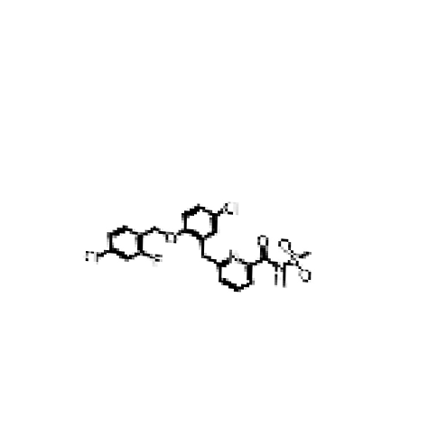 CS(=O)(=O)NC(=O)c1cccc(Cc2cc(Cl)ccc2OCc2ccc(Cl)cc2F)n1